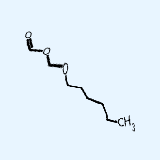 CCCCCCOCOC=O